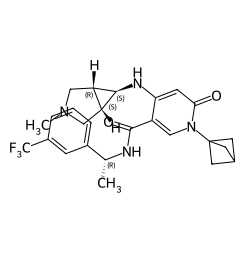 C[C@@H](NC(=O)c1cn(C23CC(C2)C3)c(=O)cc1N[C@H]1[C@@H]2CN(C)C[C@@H]21)c1cccc(C(F)(F)F)c1